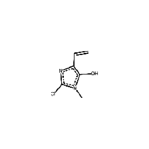 C=Cc1nc(Cl)n(C)c1O